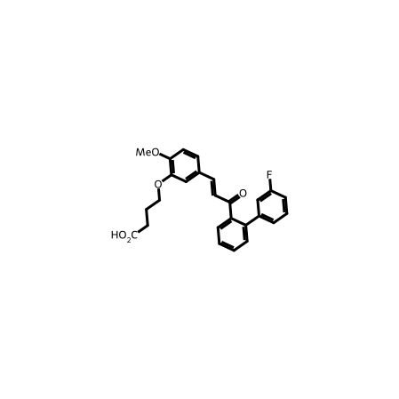 COc1ccc(C=CC(=O)c2ccccc2-c2cccc(F)c2)cc1OCCCC(=O)O